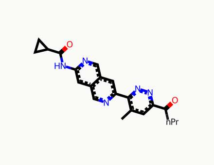 CCCC(=O)c1cc(C)c(-c2cc3cnc(NC(=O)C4CC4)cc3cn2)nn1